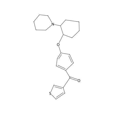 O=C(c1ccc(OC2CCCCC2N2CCCCC2)cc1)c1ccsc1